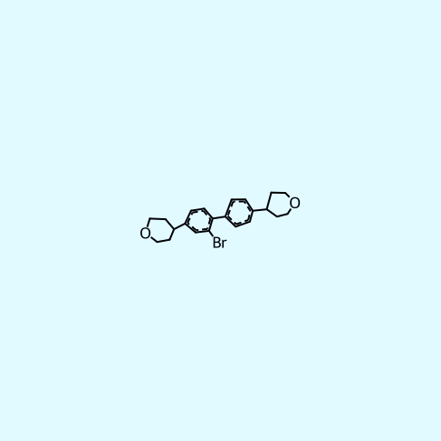 Brc1cc(C2CCOCC2)ccc1-c1ccc(C2CCOCC2)cc1